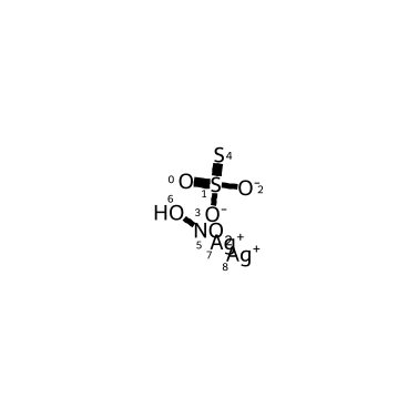 O=S([O-])([O-])=S.O=[N+]([O-])O.[Ag+].[Ag+]